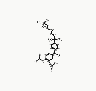 C[Si](C)(C)CCOCOC(c1ccc(C(Br)c2ccc(OC(F)F)c(OC(F)F)c2)cc1)(C(F)(F)F)C(F)(F)F